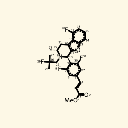 COC(=O)/C=C/c1cc(F)c([C@@H]2c3oc4cccc(F)c4c3C[C@@H](C)N2CC(C)(C)F)c(F)c1